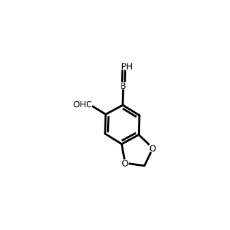 O=Cc1cc2c(cc1B=P)OCO2